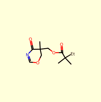 CCC(C)(C)C(=O)OCC1(C)COC=NC1=O